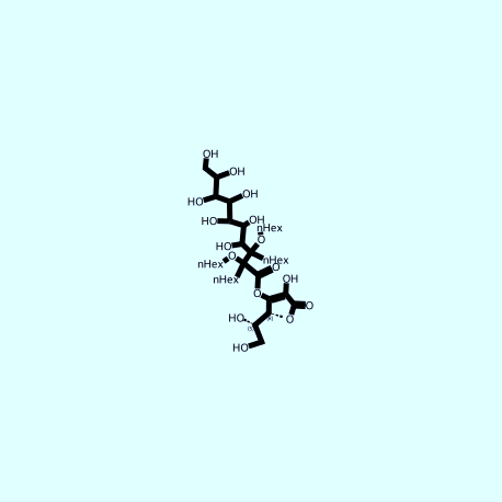 CCCCCCOC(CCCCCC)(C(=O)OC1=C(O)C(=O)O[C@@H]1[C@@H](O)CO)C(CCCCCC)(OCCCCCC)C(O)C(O)C(O)C(O)C(O)C(O)CO